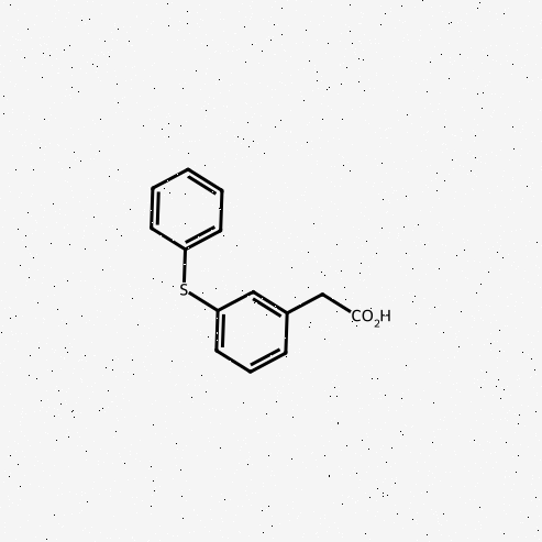 O=C(O)Cc1cccc(Sc2ccccc2)c1